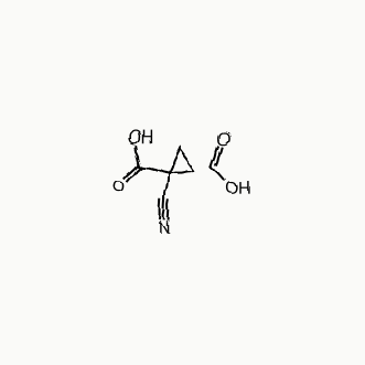 N#CC1(C(=O)O)CC1.O=CO